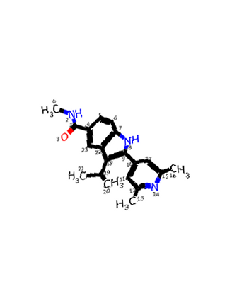 CNC(=O)c1ccc2[nH]c(-c3cc(C)nc(C)c3)c(C(C)C)c2c1